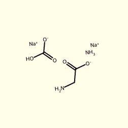 N.NCC(=O)[O-].O=C([O-])O.[Na+].[Na+]